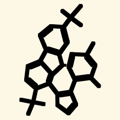 Cc1ccc(C2=C(c3c(C(C)(C)C)ccc4c3[CH]c3cc(C(C)(C)C)ccc3-4)CC=C2)c(C)c1